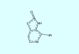 CC(C)c1nccc2sc(=O)[nH]c12